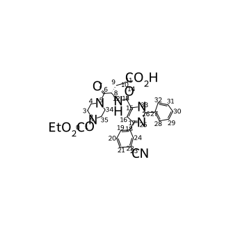 CCOC(=O)ON1CCN(C(=O)[C@H](CCC(=O)O)NC(=O)c2cc(-c3cccc(C#N)c3)nc(-c3ccccc3)n2)CC1